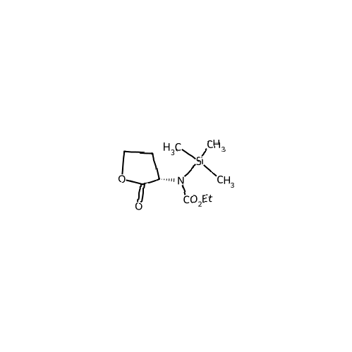 CCOC(=O)N([C@H]1CCOC1=O)[Si](C)(C)C